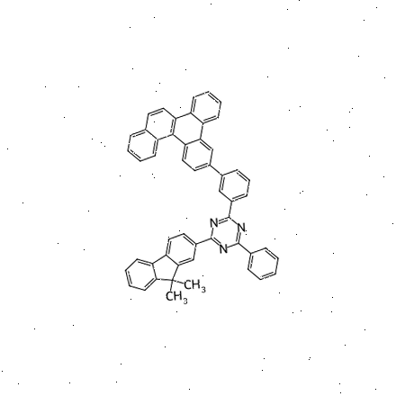 CC1(C)c2ccccc2-c2ccc(-c3nc(-c4ccccc4)nc(-c4cccc(-c5ccc6c(c5)c5ccccc5c5ccc7ccccc7c56)c4)n3)cc21